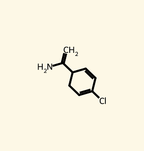 C=C(N)C1C=CC(Cl)=CC1